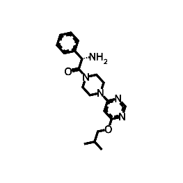 CC(C)COc1cc(N2CCN(C(=O)[C@@H](N)c3ccccc3)CC2)ncn1